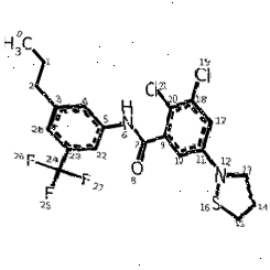 CCCc1cc(NC(=O)c2cc(N3CCCS3)cc(Cl)c2Cl)cc(C(F)(F)F)c1